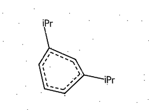 CC(C)c1[c]ccc(C(C)C)c1